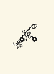 O=C(N[C@@H](Cc1ccc(OP(=O)(O)C(F)F)cc1)C(=O)NCCCN1CCOCC1)OCc1ccccc1